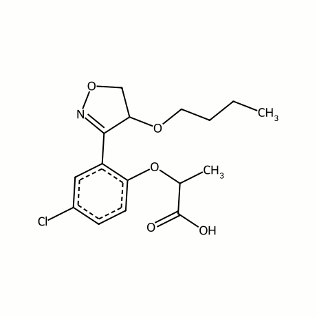 CCCCOC1CON=C1c1cc(Cl)ccc1OC(C)C(=O)O